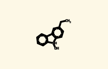 CCc1ccc2c(c1)-c1ccccc1[SiH]2O